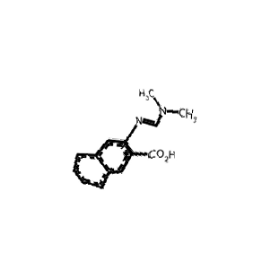 CN(C)/C=N/c1cc2ccccc2cc1C(=O)O